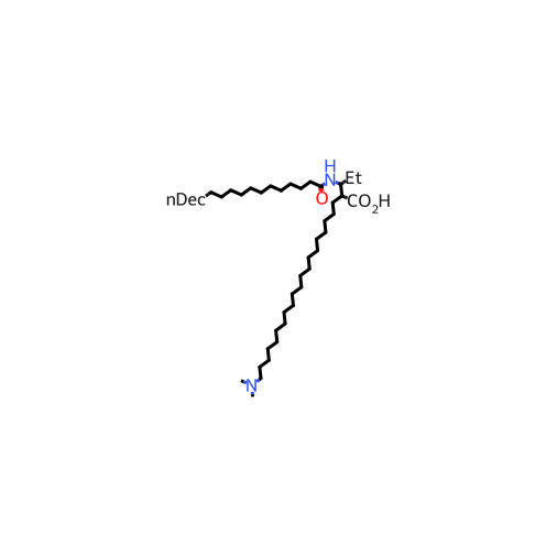 CCCCCCCCCCCCCCCCCCCCCC(=O)NC(CC)C(CCCCCCCCCCCCCCCCCCCCN(C)C)C(=O)O